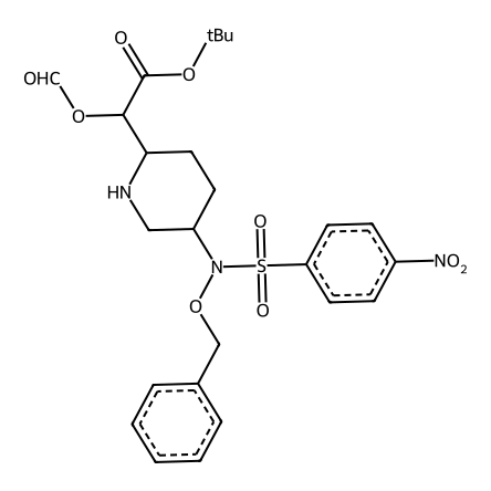 CC(C)(C)OC(=O)C(OC=O)C1CCC(N(OCc2ccccc2)S(=O)(=O)c2ccc([N+](=O)[O-])cc2)CN1